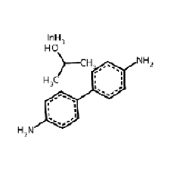 CC(C)O.Nc1ccc(-c2ccc(N)cc2)cc1.[InH3]